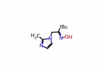 Cc1nccn1CC(=NO)C(C)(C)C